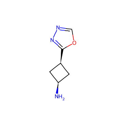 N[C@H]1C[C@@H](c2nnco2)C1